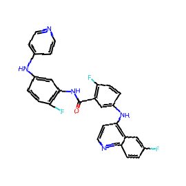 O=C(Nc1cc(Nc2ccncc2)ccc1F)c1cc(Nc2ccnc3ccc(F)cc23)ccc1F